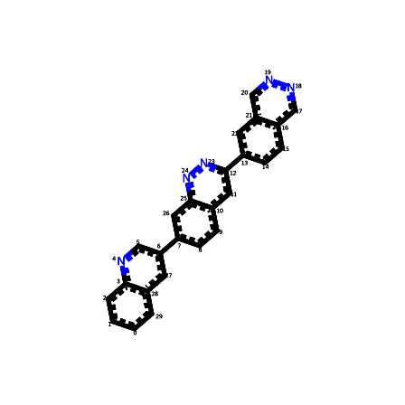 c1ccc2ncc(-c3ccc4cc(-c5ccc6cnncc6c5)nnc4c3)cc2c1